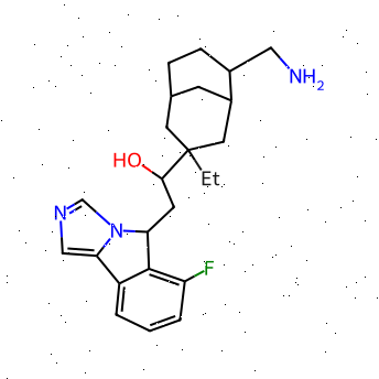 CCC1(C(O)CC2c3c(F)cccc3-c3cncn32)CC2CCC(CN)C(C2)C1